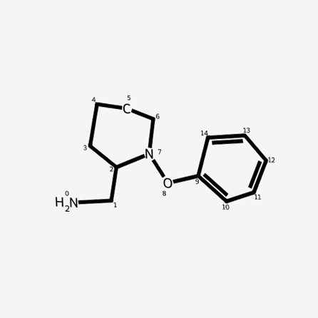 NCC1CCCCN1Oc1ccccc1